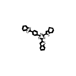 C1=Cc2sc(-c3nc(-c4ccc(-c5nc6ccccc6o5)cc4)nc(-c4cc5ccccc5s4)n3)cc2CC1